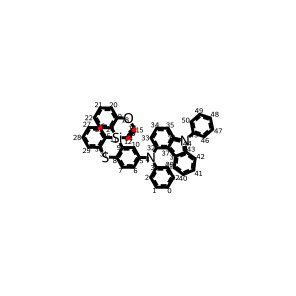 c1ccc(N(c2ccc3c(c2)[Si]2(c4ccccc4Oc4ccccc42)c2ccccc2S3)c2cccc3c2c2ccccc2n3-c2ccccc2)cc1